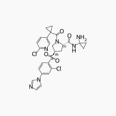 NC1(NC(=O)[C@@H]2C[C@@H](S(=O)(=O)c3ccc(-n4ccnc4)cc3Cl)CN2C(=O)C2(c3ccc(Cl)nc3)CC2)CC1